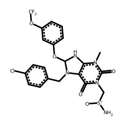 Cn1c2c(c(=O)n(C[S+](N)[O-])c1=O)N(Cc1ccc(Cl)cc1)C(Oc1cccc(OC(F)(F)F)c1)N2